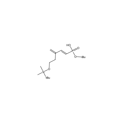 C=C(C=CP(=O)(O)OC(C)CC)CCO[Si](C)(C)C(C)(C)C